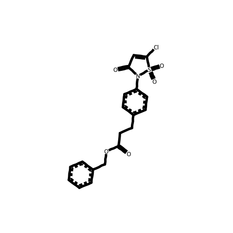 O=C(CCc1ccc(N2C(=O)C=C(Cl)S2(=O)=O)cc1)OCc1ccccc1